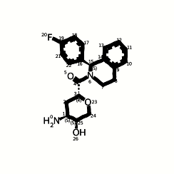 N[C@H]1C[C@H](C(=O)N2CCc3ccccc3[C@@H]2c2ccc(F)cc2)OC[C@H]1O